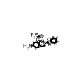 NC1CCC2(CC1)CCN(c1nc3ccccc3o1)CC2OC(=O)C(F)(F)F